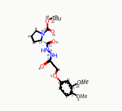 COc1ccc(OCC(=O)NNC(=O)[C@@H]2CCCN2C(=O)OC(C)(C)C)cc1OC